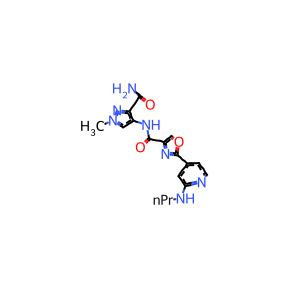 CCCNc1cc(-c2nc(C(=O)Nc3cn(C)nc3C(N)=O)co2)ccn1